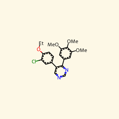 CCOc1ccc(-c2cncnc2-c2cc(OC)c(OC)c(OC)c2)cc1Cl